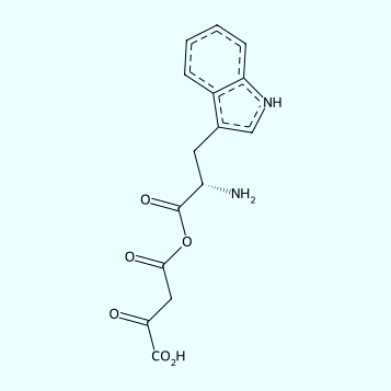 N[C@@H](Cc1c[nH]c2ccccc12)C(=O)OC(=O)CC(=O)C(=O)O